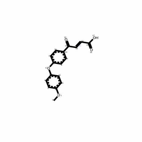 COc1ccc(Oc2ccc(C(=O)/C=C/C(=O)O)cc2)cc1